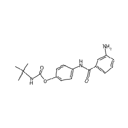 CC(C)(C)NC(=O)Oc1ccc(NC(=O)c2cccc(N)c2)cc1